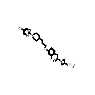 O=C(O)C1CN(C(=O)Cc2ccc(OCCCC3CCN(c4ncc(Cl)cn4)CC3)cc2F)C1